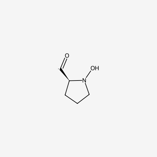 O=[C][C@@H]1CCCN1O